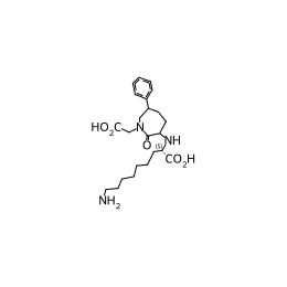 NCCCCCCC[C@H](NC1CCC(c2ccccc2)CN(CC(=O)O)C1=O)C(=O)O